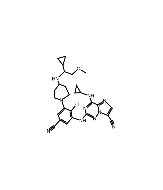 COCC(NC1CCN(c2cc(C#N)cc(Nc3nc(NC4CC4)c4ncc(C#N)n4n3)c2Cl)CC1)C1CC1